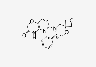 O=C1COc2ccc(N3CC4(COC4)OC[C@H]3c3ccccc3)nc2N1